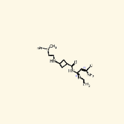 C=C/N=C(\C=C(/N)Cl)NC(=O)C1CC(NCCN(C)CCC)C1